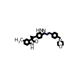 Cc1ccc2c(c1)C1(CC1c1ccc3c(/C=C/c4ccc(CN5CCOCC5)cc4)n[nH]c3c1)C(=O)N2